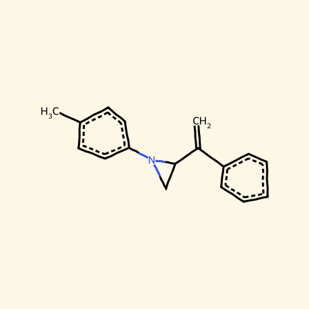 C=C(c1ccccc1)C1CN1c1ccc(C)cc1